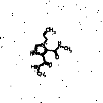 C=CC[n+]1c[nH]c(C(=O)NC)c1C(=O)NC